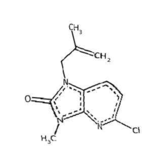 C=C(C)Cn1c(=O)n(C)c2nc(Cl)ccc21